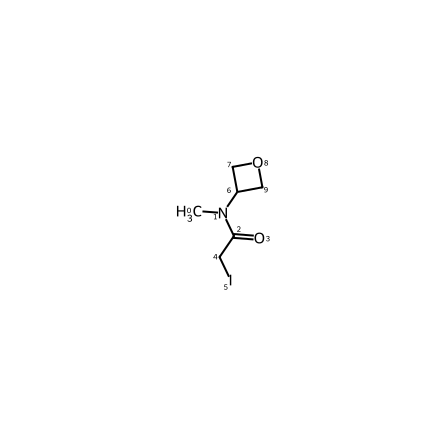 CN(C(=O)CI)C1COC1